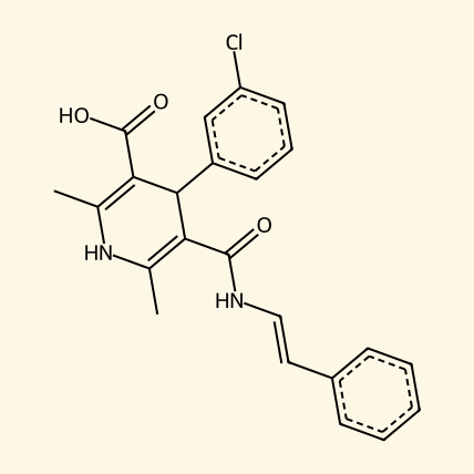 CC1=C(C(=O)O)C(c2cccc(Cl)c2)C(C(=O)NC=Cc2ccccc2)=C(C)N1